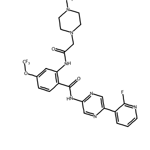 CN1CCN(CC(=O)Nc2cc(OC(F)(F)F)ccc2C(=O)Nc2cnc(-c3cccnc3F)cn2)CC1